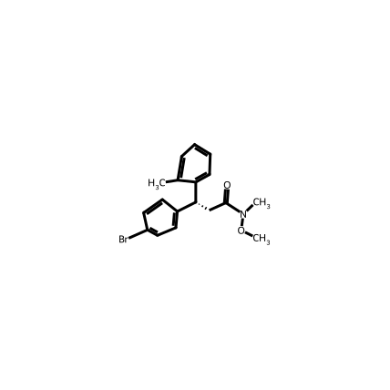 CON(C)C(=O)C[C@H](c1ccc(Br)cc1)c1ccccc1C